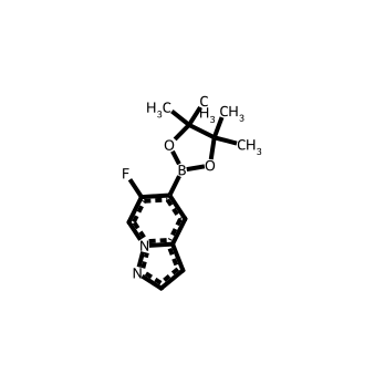 CC1(C)OB(c2cc3ccnn3cc2F)OC1(C)C